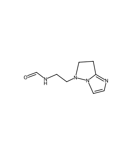 O=CNCCN1CCc2nccn21